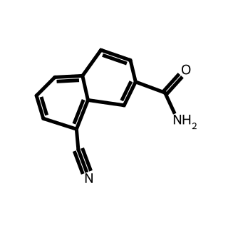 N#Cc1cccc2ccc(C(N)=O)cc12